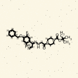 CC(C)(C)OC(=O)N1CCN(C(=O)CN/N=C(\C=N)c2cc(F)c(OCc3ccccc3)cc2F)CC1